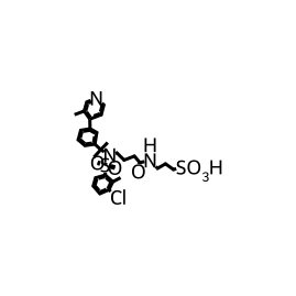 Cc1cnccc1-c1cccc(C(C)(C)N(CCCC(=O)NCCCS(=O)(=O)O)S(=O)(=O)c2cccc(Cl)c2C)c1